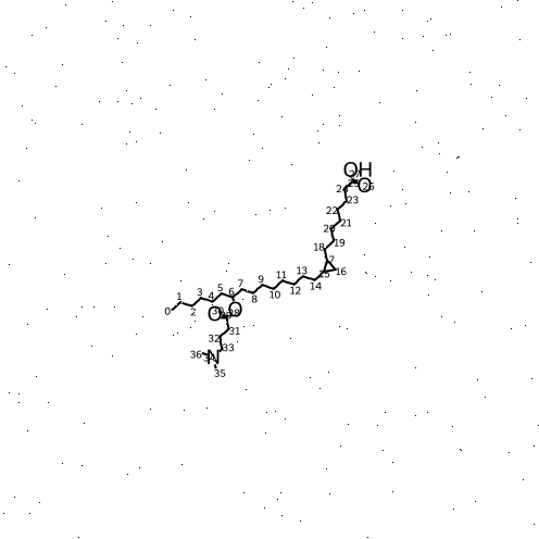 CCCCCCC(CCCCCCCCC1CC1CCCCCCCC(=O)O)OC(=O)CCCN(C)C